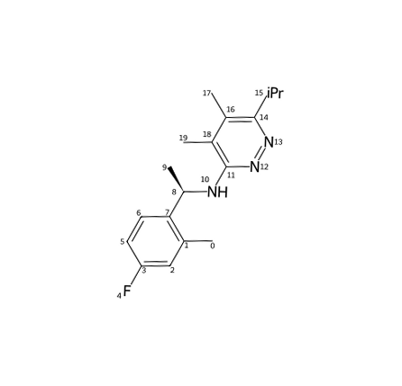 Cc1cc(F)ccc1[C@@H](C)Nc1nnc(C(C)C)c(C)c1C